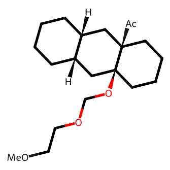 COCCOCO[C@]12CCCC[C@@]1(C(C)=O)C[C@H]1CCCC[C@H]1C2